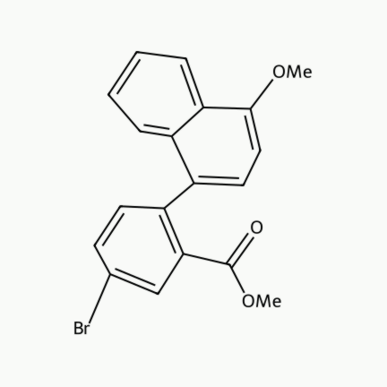 COC(=O)c1cc(Br)ccc1-c1ccc(OC)c2ccccc12